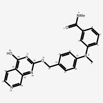 CNC(=O)c1cccc(N(C)c2ccc(COc3nc(O)c4ccncc4n3)cc2)c1